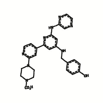 O=C(O)N1CCN(c2cc(-c3cc(NCc4ccc(O)cc4)cc(Nc4cnccn4)n3)ccn2)CC1